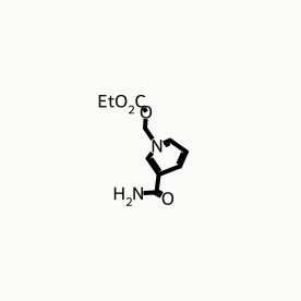 CCOC(=O)OC[n+]1cccc(C(N)=O)c1